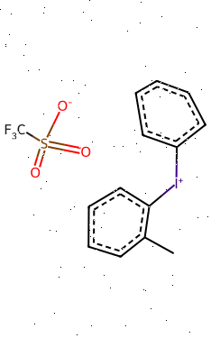 Cc1ccccc1[I+]c1ccccc1.O=S(=O)([O-])C(F)(F)F